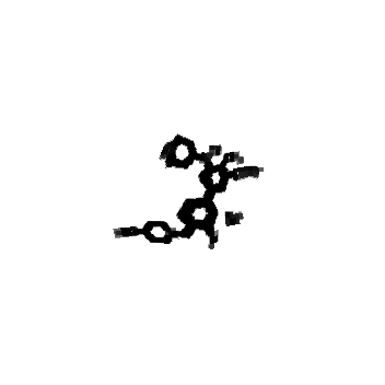 CCN(c1cc(-c2ccc(CN3CCC(O)CC3)c(F)c2)cc(C(=O)[O-])c1C)C1CCOCC1.[Na+]